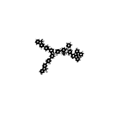 CC1(C)c2ccccc2-c2ccc(-c3ccc(-c4ccc5c(c4)c4cc(-c6ccc(-c7ccc8c(c7)C(C)(C)c7ccccc7-8)cc6)ccc4n5-c4ccc(-c5ccc(N(c6ccccc6)c6ccc(-c7ccc8c(c7)C(c7ccccc7)(c7ccccc7)c7ccccc7-8)cc6)c6nsnc56)cc4)cc3)cc21